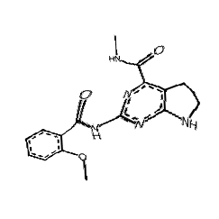 CNC(=O)c1nc(NC(=O)c2ccccc2OC)nc2c1CCN2